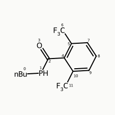 CCCCPC(=O)c1c(C(F)(F)F)cccc1C(F)(F)F